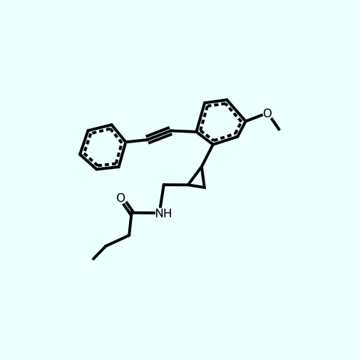 CCCC(=O)NCC1CC1c1cc(OC)ccc1C#Cc1ccccc1